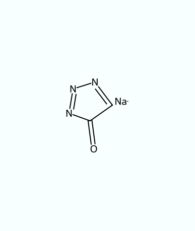 O=C1C=NN=N1.[Na]